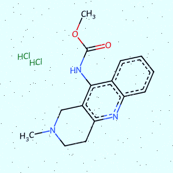 COC(=O)Nc1c2c(nc3ccccc13)CCN(C)C2.Cl.Cl